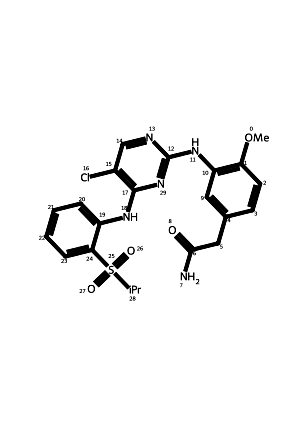 COc1ccc(CC(N)=O)cc1Nc1ncc(Cl)c(Nc2ccccc2S(=O)(=O)C(C)C)n1